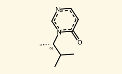 CC(C)[C@H](C)n1cnccc1=O